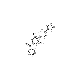 O=C(c1ccccc1)c1cc(F)c(N2CCN(C3CCCC3)CC2)c(F)c1